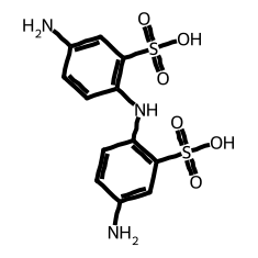 Nc1ccc(Nc2ccc(N)cc2S(=O)(=O)O)c(S(=O)(=O)O)c1